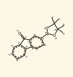 CC1(C)OB(c2ccc3c(c2)C(=O)c2ccccc2-3)OC1(C)C